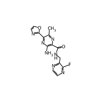 Cc1nc(C(=O)NCc2nccnc2F)c(N)nc1-c1ncco1